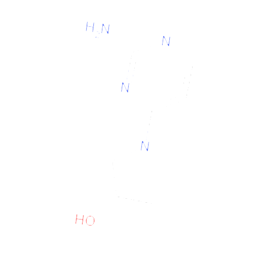 Nc1nccc(N2CCC(O)C2)n1